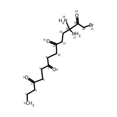 CCCC(=O)CCC(=O)CCC(=O)CCC(N)(N)C(=O)CBr